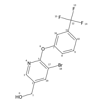 OCc1cnc(Oc2cccc(C(F)(F)F)c2)c(Br)c1